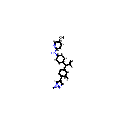 C=C(C)C(c1ccc(-c2cnn(C)c2)c(C)c1)C1CCC(Nc2ccc(C#N)cn2)CC1